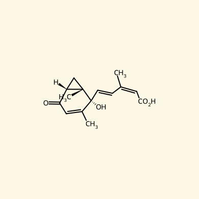 CC1=CC(=O)[C@@H]2C[C@]2(C)[C@@]1(O)/C=C/C(C)=C\C(=O)O